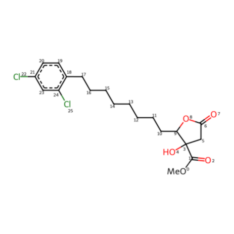 COC(=O)C1(O)CC(=O)OC1CCCCCCCCc1ccc(Cl)cc1Cl